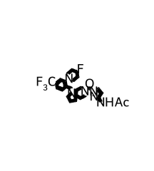 CC(=O)Nc1ccn(C(=O)N2CCC3(CCCN3Cc3ccc(C(F)(F)F)cc3N3CCC(F)CC3)CC2)n1